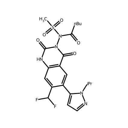 CCCCC(=O)N(n1c(=O)[nH]c2cc(C(F)F)c(-c3ccnn3C(C)C)cc2c1=O)S(C)(=O)=O